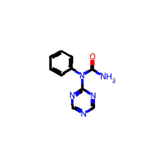 NC(=O)N(c1ccccc1)c1ncncn1